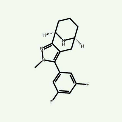 Cn1nc2c(c1-c1cc(F)cc(F)c1)C[C@@H]1CCC[C@H]2N1